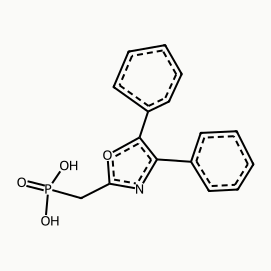 O=P(O)(O)Cc1nc(-c2ccccc2)c(-c2ccccc2)o1